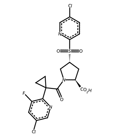 O=C(O)[C@@H]1C[C@@H](S(=O)(=O)c2ccc(Cl)cn2)CN1C(=O)C1(c2ncc(Cl)cc2F)CC1